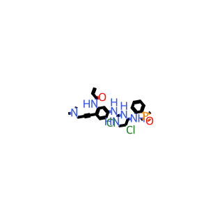 C=CC(=O)Nc1cc(NC2NCC(Cl)C(Nc3ccccc3P(C)(C)=O)N2)c(Cl)cc1C#CCN(C)C